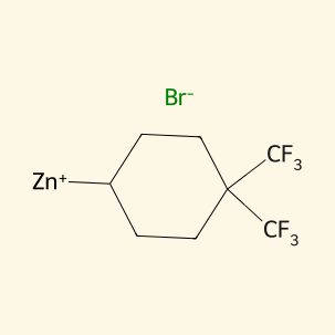 FC(F)(F)C1(C(F)(F)F)CC[CH]([Zn+])CC1.[Br-]